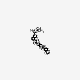 CC(C)(C)OC(=O)N1CCc2c(cccc2C(=O)C(=O)N2CC3=C(C2)CN(S(=O)(=O)c2ccc4c(c2)OCCO4)C3)C1